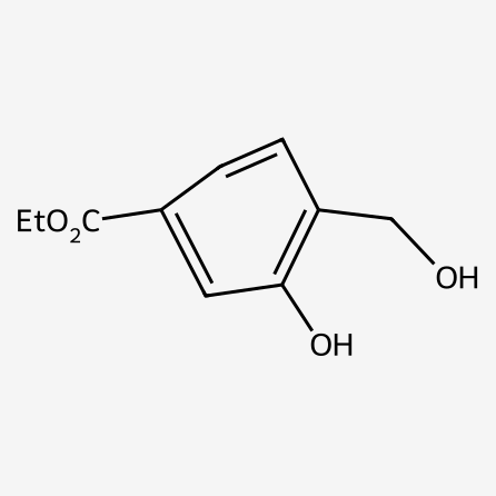 CCOC(=O)c1ccc(CO)c(O)c1